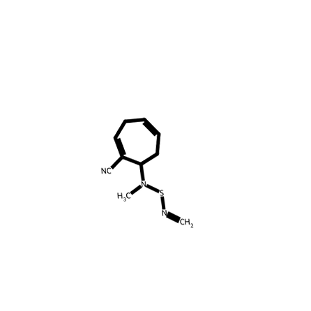 C=NSN(C)C1CC=CCC=C1C#N